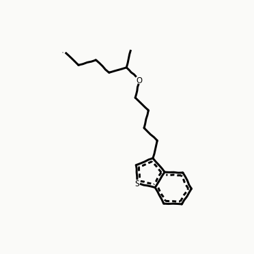 [CH2]CCCC(C)OCCCCc1csc2ccccc12